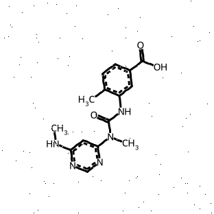 CNc1cc(N(C)C(=O)Nc2cc(C(=O)O)ccc2C)ncn1